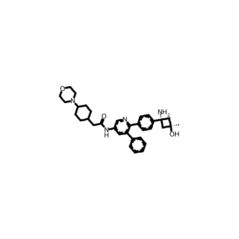 C[C@]1(O)C[C@@](N)(c2ccc(-c3ncc(NC(=O)CC4CCC(N5CCOCC5)CC4)cc3-c3ccccc3)cc2)C1